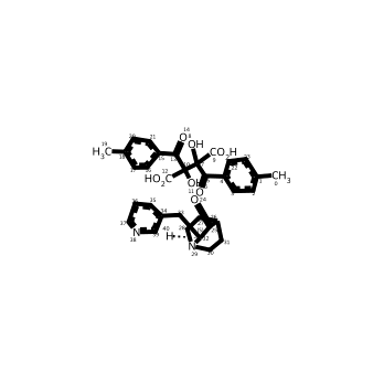 Cc1ccc(C(=O)C(O)(C(=O)O)C(O)(C(=O)O)C(=O)c2ccc(C)cc2)cc1.O=C1C2CCN(CC2)[C@H]1Cc1cccnc1